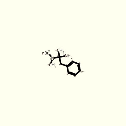 CCCCN(C)C(C)(N)Cc1ccccc1